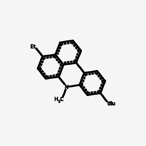 CCc1ccc2c3c(cccc13)-c1ccc(C(C)(C)C)cc1N2C